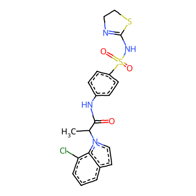 CC(C(=O)Nc1ccc(S(=O)(=O)NC2=NCCS2)cc1)n1ccc2cccc(Cl)c21